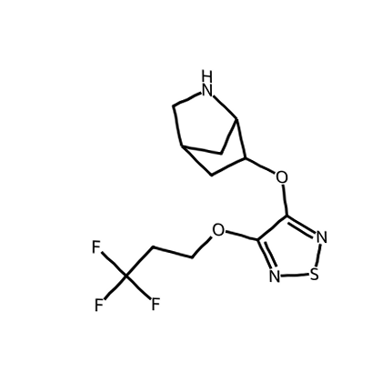 FC(F)(F)CCOc1nsnc1OC1CC2CNC1C2